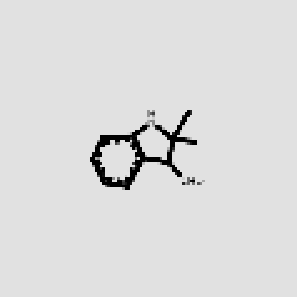 CC1(C)Nc2ccccc2C1C=O